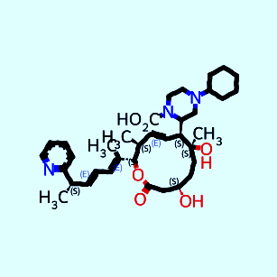 C/C(=C\C=C\[C@H](C)c1ccccn1)[C@H]1OC(=O)C[C@@H](O)CC[C@](C)(O)[C@H](C2CN(C3CCCCC3)CCN2C(=O)O)/C=C/[C@@H]1C